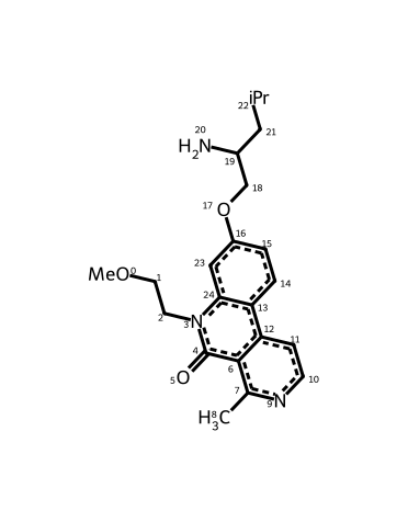 COCCn1c(=O)c2c(C)nccc2c2ccc(OCC(N)CC(C)C)cc21